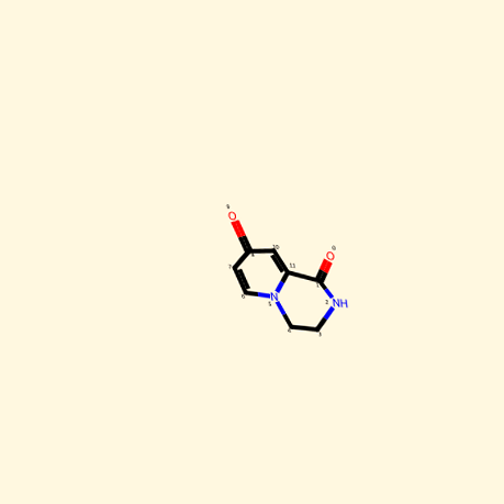 O=C1NCCn2ccc(=O)cc21